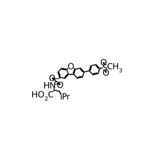 CC(C)CC(NS(=O)(=O)c1ccc2oc3cc(-c4ccc(S(C)(=O)=O)cc4)ccc3c2c1)C(=O)O